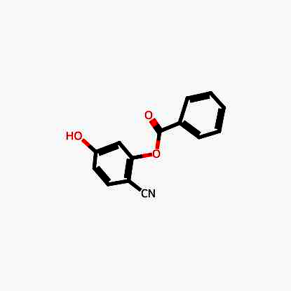 N#Cc1ccc(O)cc1OC(=O)c1ccccc1